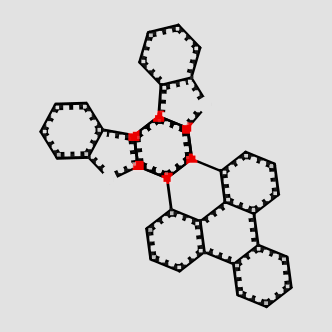 c1ccc2c(c1)oc1c(-c3cccc4c5ccccc5c5cccc(-c6cccc7c6oc6ccccc67)c5c34)cccc12